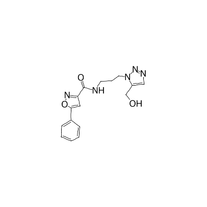 O=C(NCCCn1nncc1CO)c1cc(-c2ccccc2)on1